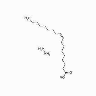 CCCCCCCC/C=C\CCCCCCCC(=O)O.NP